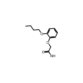 CCCCOc1ccccc1OCC([NH])=O